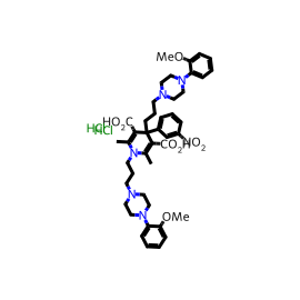 COc1ccccc1N1CCN(CCCN2C(C)=C(C(=O)O)C(CCCN3CCN(c4ccccc4OC)CC3)(c3cccc([N+](=O)[O-])c3)C(C(=O)O)=C2C)CC1.Cl.Cl